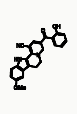 COc1ccc2[nH]c3c(c2c1)CCN1CC(C(=O)c2ccccc2O)=CC(C#N)=C31